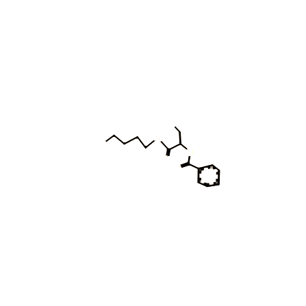 CCCCCCCCCCCCCCNC(=O)C(CO)NC(=O)c1ccccc1